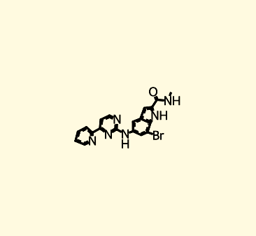 CNC(=O)c1cc2cc(Nc3nccc(-c4ccccn4)n3)cc(Br)c2[nH]1